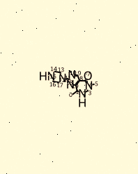 CC1NCN(C)C(=O)c2cnc(N3CCNCC3)nc21